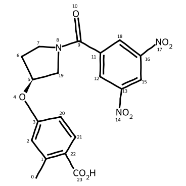 Cc1cc(O[C@H]2CCN(C(=O)c3cc([N+](=O)[O-])cc([N+](=O)[O-])c3)C2)ccc1C(=O)O